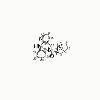 O=C(C1CC2CCC(C1)C2(F)F)N1Cc2cccnc2Nc2ccccc21